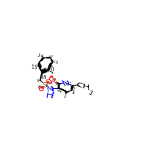 CC1=CC=C(NS(=O)(=O)Cc2ccccc2)C(=O)[N]1